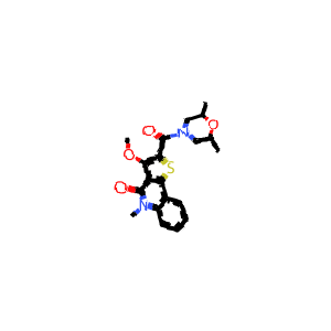 COc1c(C(=O)N2CC(C)OC(C)C2)sc2c1c(=O)n(C)c1ccccc21